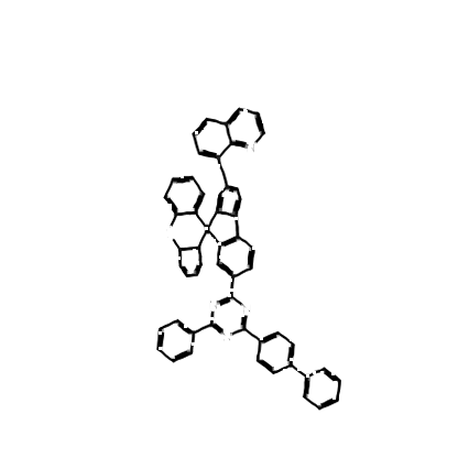 C1=CC2Sc3ccccc3C3(c4cc(-c5nc(-c6ccccc6)nc(-c6ccc(-c7ccccc7)cc6)n5)ccc4-c4ccc(-c5cccc6cccnc56)cc43)C2C=C1